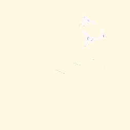 CC(C)(C)C(O)(CCc1ccc(-c2ccccc2Cl)cc1)Cn1cncn1